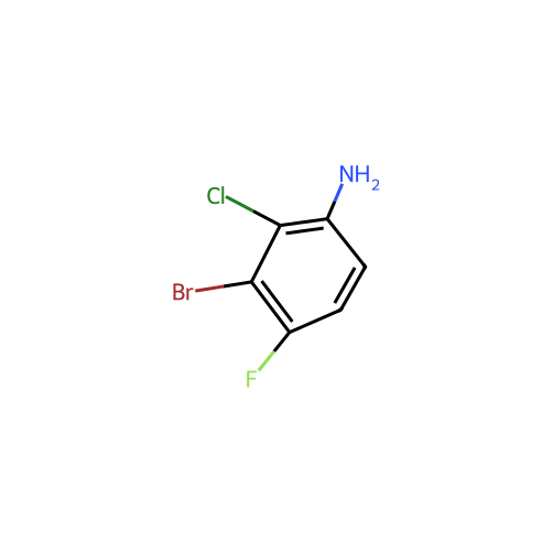 Nc1ccc(F)c(Br)c1Cl